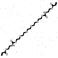 C=CC(=O)OCCNC(=O)OCCOCCOCCOCCOCCOC(=O)NCCOC(=O)C=C